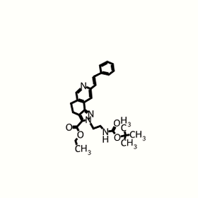 CCOC(=O)c1c2c(nn1CCNC(=O)OC(C)(C)C)-c1cc(/C=C/c3ccccc3)ncc1CC2